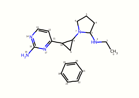 CCNC1CCCN1C1CC1c1ccnc(N)n1.c1ccccc1